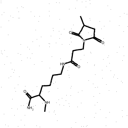 CNC(CCCCNC(=O)CCN1C(=O)CC(C)C1=O)C(N)=O